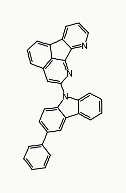 c1ccc(-c2ccc3c(c2)c2ccccc2n3-c2cc3cccc4c3c(n2)-c2ncccc2-4)cc1